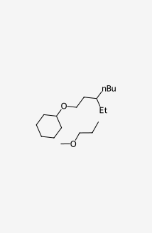 CCCCC(CC)CCOC1CCCCC1.CCCOC